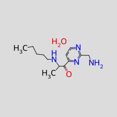 CCCCCNC(C)C(=O)c1ccnc(CN)n1.O